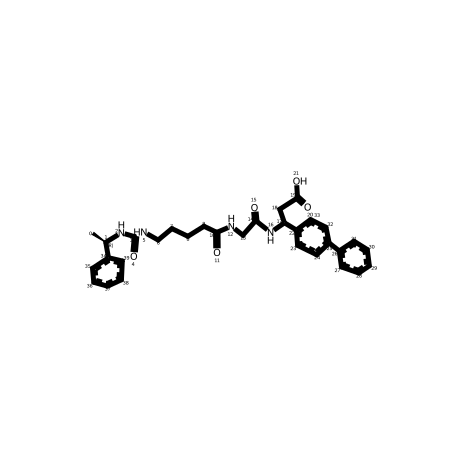 C[C@@H](NC(=O)NCCCCC(=O)NCC(=O)NC(CC(=O)O)c1ccc(-c2ccccc2)cc1)c1ccccc1